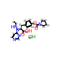 CCNN(c1ccncn1)[C@@H](Cc1ccc(OC(=O)N2CCCC2)cc1)C(=O)O.Cl